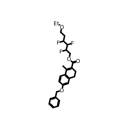 CCOCCC(F)C(F)C(F)COC(=O)C1=C(C)c2ccc(OCc3ccccc3)cc2CC1